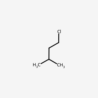 C[C](C)CCCl